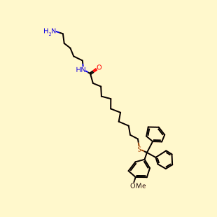 COc1ccc(C(SCCCCCCCCCCC(=O)NCCCCCN)(c2ccccc2)c2ccccc2)cc1